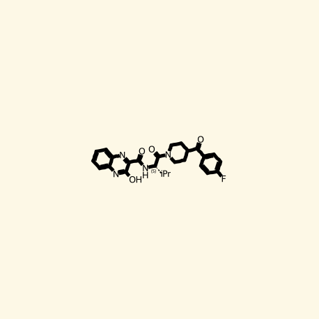 CC(C)[C@H](NC(=O)c1nc2ccccc2nc1O)C(=O)N1CCC(C(=O)c2ccc(F)cc2)CC1